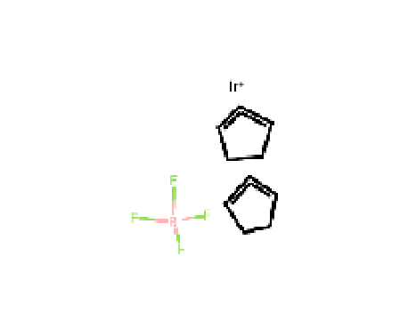 C1=CCCC=1.C1=CCCC=1.F[B-](F)(F)F.[Ir+]